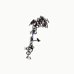 Cc1nc(Nc2ncc(C(=O)Nc3c(C)cccc3Cl)s2)cc(N2CCN(CC(=O)N(CCNC(=O)OCCOCCOCCNC(=O)OC/C=C/COC(=O)NCCOCCOCCOC(=O)NCCOCCOCCCCCCCl)Cc3ccc(C)c(N=[N+]=[N-])c3)CC2)n1